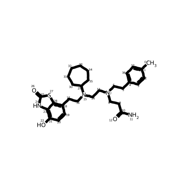 Cc1ccc(CCN(CCC(N)=O)CCN(CCc2ccc(O)c3[nH]c(=O)sc23)C2CCCCCC2)cc1